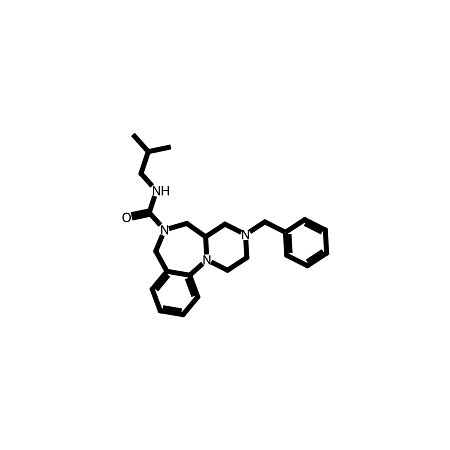 CC(C)CNC(=O)N1Cc2ccccc2N2CCN(Cc3ccccc3)CC2C1